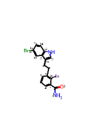 NC(=O)c1cccc(CCc2c[nH]c3ccc(Br)cc23)c1I